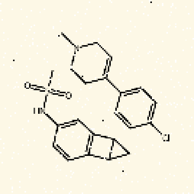 CN1CC=C(c2ccc(Cl)cc2)CC1.CS(=O)(=O)Nc1ccc2c(c1)C1CC21